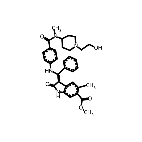 COC(=O)c1cc2c(cc1C)/C(=C(/Nc1ccc(C(=O)N(C)C3CCN(CCO)CC3)cc1)c1ccccc1)C(=O)N2